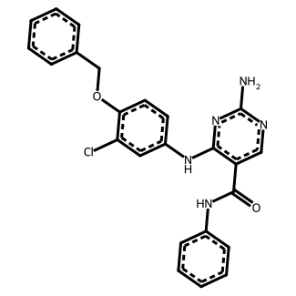 Nc1ncc(C(=O)Nc2ccccc2)c(Nc2ccc(OCc3ccccc3)c(Cl)c2)n1